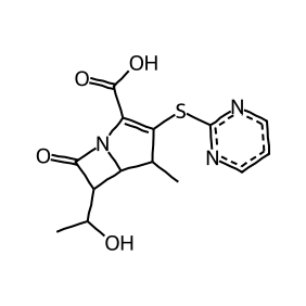 CC(O)C1C(=O)N2C(C(=O)O)=C(Sc3ncccn3)C(C)C12